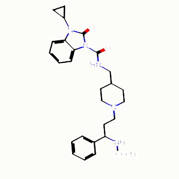 O=C(O)NC(CCN1CCC(CNC(=O)n2c(=O)n(C3CC3)c3ccccc32)CC1)c1ccccc1